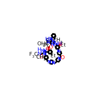 CCOc1cc(N2CCC(C(=O)N3CCC(CN4CCN(Cc5ccc(-n6c(C(=O)NC(C)C(F)(F)F)nnc6-c6cc(CC)ccc6OC(=O)C(C)C)cc5)CC4)CC3)CC2)ccc1Nc1ncc(N(C)C=O)c(Nc2ccccc2C)n1